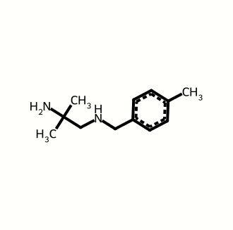 Cc1ccc(CNCC(C)(C)N)cc1